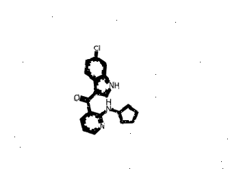 O=C(c1cccnc1NC1CCCC1)c1c[nH]c2cc(Cl)ccc12